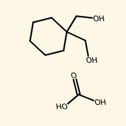 O=C(O)O.OCC1(CO)CCCCC1